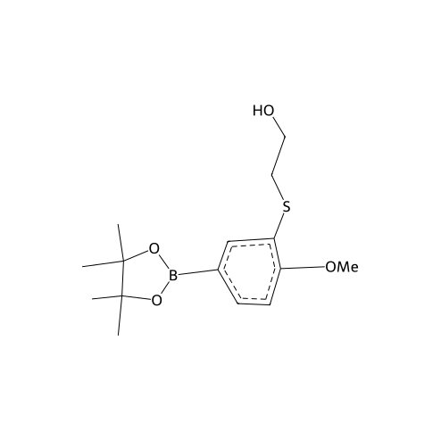 COc1ccc(B2OC(C)(C)C(C)(C)O2)cc1SCCO